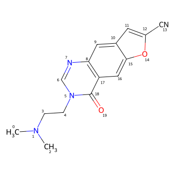 CN(C)CCn1cnc2cc3cc(C#N)oc3cc2c1=O